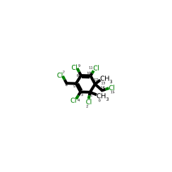 CC1(Cl)C(Cl)=C(CCl)C(Cl)=C(Cl)C1(C)CCl